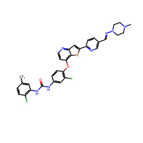 CN1CCN(/N=C/c2ccc(-c3cc4nccc(Oc5ccc(NC(=O)Nc6cc(C(F)(F)F)ccc6F)cc5F)c4s3)nc2)CC1